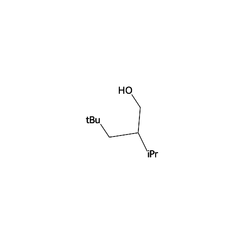 CC(C)C(CO)CC(C)(C)C